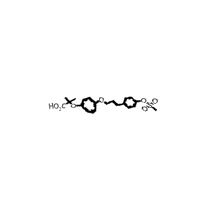 CC(C)(Oc1ccc(OC/C=C/c2ccc(OS(C)(=O)=O)cc2)cc1)C(=O)O